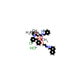 COc1c(OCCCNCc2cccc3ccccc23)cccc1[C@@H]1O[C@@H](CC(=O)NCc2ccccc2F)C(=O)N(CC(C)(C)C)c2ccc(Cl)cc21.Cl